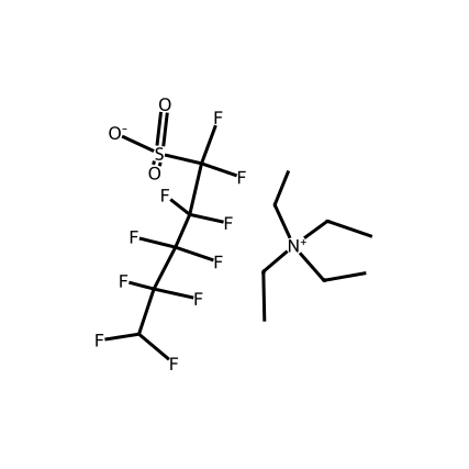 CC[N+](CC)(CC)CC.O=S(=O)([O-])C(F)(F)C(F)(F)C(F)(F)C(F)(F)C(F)F